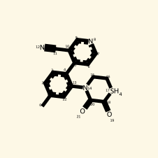 Cc1ccc(-c2ccncc2C#N)c(N2CC[SH4]C(=O)C2=O)c1